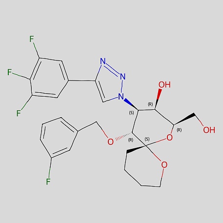 OC[C@H]1O[C@@]2(CCCCO2)[C@H](OCc2cccc(F)c2)[C@@H](n2cc(-c3cc(F)c(F)c(F)c3)nn2)[C@H]1O